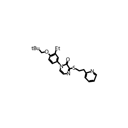 CCc1cc(-n2ccnc(SCCc3ccccn3)c2=O)ccc1OCC(C)(C)C